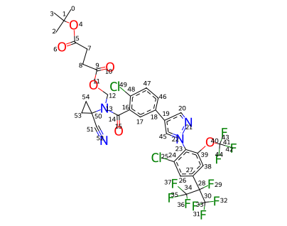 CC(C)(C)OC(=O)CCC(=O)OCN(C(=O)c1cc(-c2cnn(-c3c(Cl)cc(C(F)(C(F)(F)F)C(F)(F)F)cc3OC(F)(F)F)c2)ccc1Cl)C1(C#N)CC1